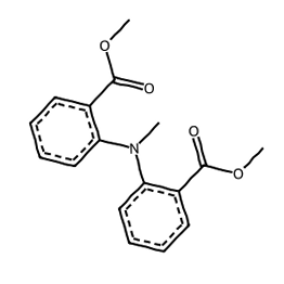 COC(=O)c1ccccc1N(C)c1ccccc1C(=O)OC